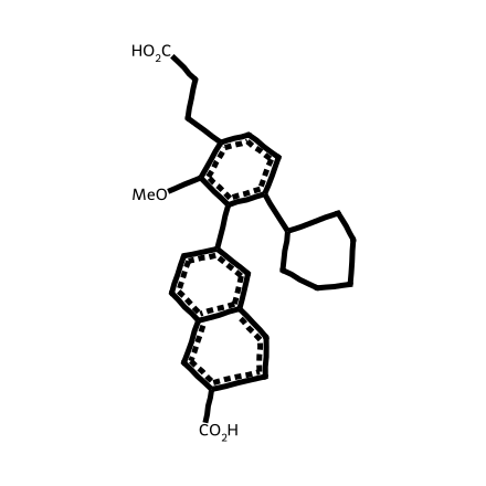 COc1c(CCC(=O)O)ccc(C2CCCCC2)c1-c1ccc2cc(C(=O)O)ccc2c1